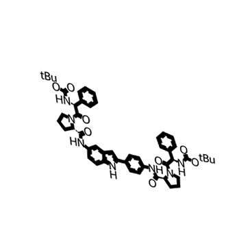 CC(C)(C)OC(=O)N[C@@H](C(=O)N1CCC[C@H]1C(=O)Nc1ccc(-c2cc3cc(NC(=O)[C@@H]4CCCN4C(=O)[C@H](NC(=O)OC(C)(C)C)c4ccccc4)ccc3[nH]2)cc1)c1ccccc1